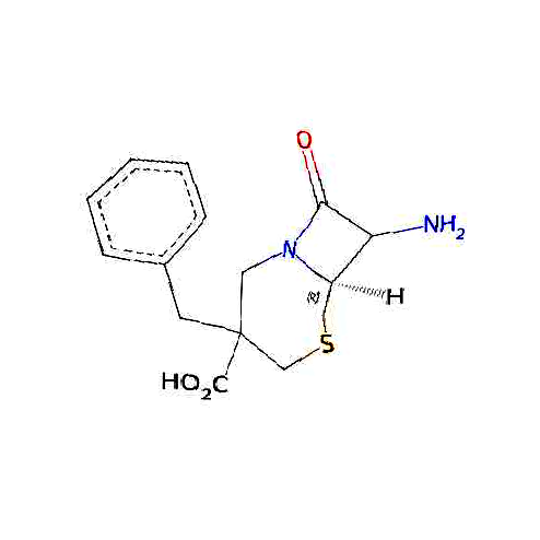 NC1C(=O)N2CC(Cc3ccccc3)(C(=O)O)CS[C@H]12